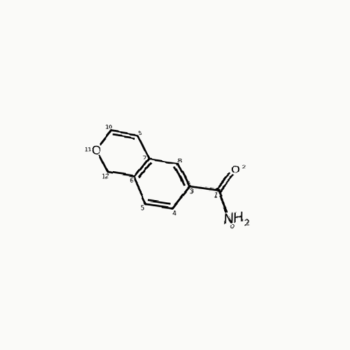 NC(=O)c1ccc2c(c1)C=COC2